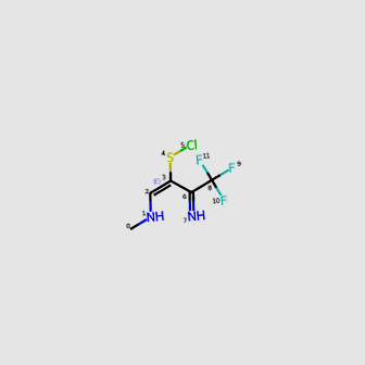 CN/C=C(/SCl)C(=N)C(F)(F)F